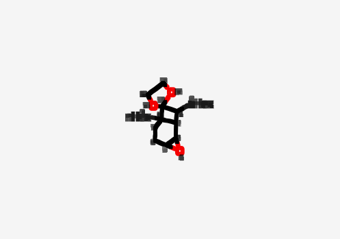 CCCCCCC1C2C3OC3CCC2(CCCCCC)C12OCCO2